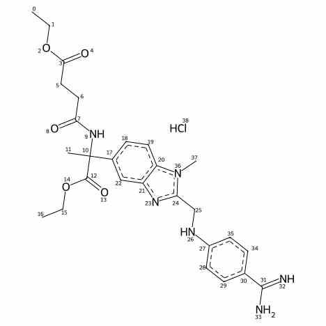 CCOC(=O)CCC(=O)NC(C)(C(=O)OCC)c1ccc2c(c1)nc(CNc1ccc(C(=N)N)cc1)n2C.Cl